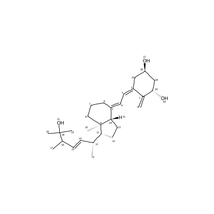 C=C1C(=CC=C2CCC[C@]3(C)[C@@H]([C@H](C)C=CC(C)C(C)(C)O)CC[C@@H]23)C[C@@H](O)C[C@@H]1O